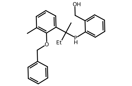 CCC(C)(Pc1ccccc1CO)c1cccc(C)c1OCc1ccccc1